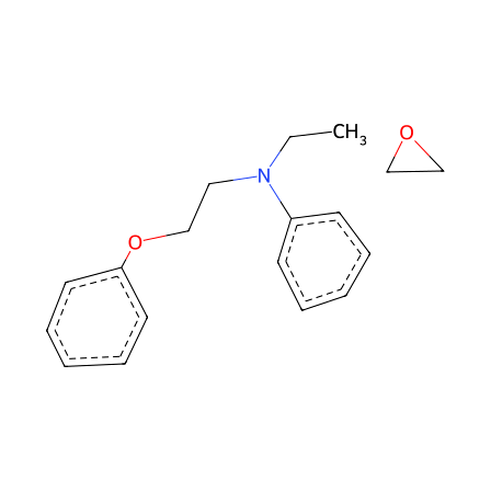 C1CO1.CCN(CCOc1ccccc1)c1ccccc1